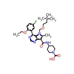 CCOc1ccc(F)cc1-c1ncnc2c(C(=O)NC3CCN(C(=O)O)CC3)c(C)n(COCC[Si](C)(C)C)c12